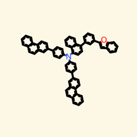 c1cc(-c2cc3ccccc3o2)cc(-c2ccc(N(c3ccc(-c4ccc5c(ccc6ccccc65)c4)cc3)c3ccc(-c4ccc5c(ccc6ccccc65)c4)cc3)c3ccccc23)c1